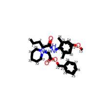 CCCC(C(=O)Nc1c(C)cc(OC)cc1C)[N+]1(CC(=O)OCc2ccccc2)CCCCC1